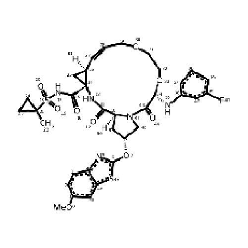 COc1ccc2nc(O[C@@H]3C[C@H]4C(=O)N[C@]5(C(=O)NS(=O)(=O)C6(C)CC6)C[C@H]5/C=C\CCCCC[C@H](Nc5cccc(F)c5)C(=O)N4C3)sc2c1